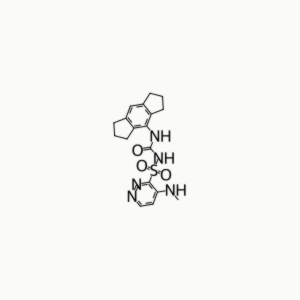 CNc1ccnnc1S(=O)(=O)NC(=O)Nc1c2c(cc3c1CCC3)CCC2